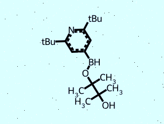 CC(C)(C)c1cc(BOC(C)(C)C(C)(C)O)cc(C(C)(C)C)n1